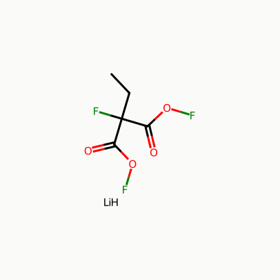 CCC(F)(C(=O)OF)C(=O)OF.[LiH]